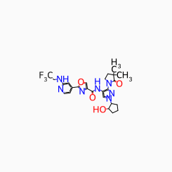 CC1(C)CCN(c2nn(C3CCCC3O)cc2NC(=O)c2coc(-c3ccnc(NCC(F)(F)F)c3)n2)C1=O